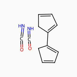 C1=CCC(C2=CC=CC2)=C1.N=C=O.N=C=O